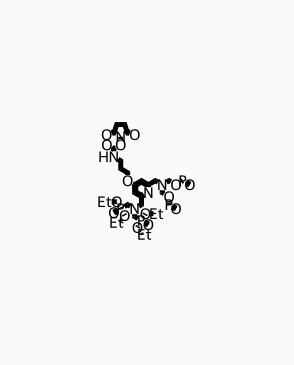 CCOP(=O)(CN(Cc1cc(OCCCNC(=O)ON2C(=O)CCC2=O)cc(CN(COP=O)COP=O)n1)CP(=O)(OCC)OCC)OCC